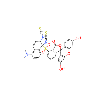 CN(C)c1cccc2c1C=CC(N=C=S)C2(N=C=S)S(=O)(=O)c1cccc2c1C(=O)OC21c2ccc(O)cc2Oc2cc(O)ccc21